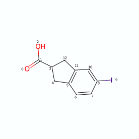 O=C(O)C1Cc2ccc(I)cc2C1